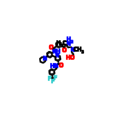 CN(CCO)CCC(C)(N)C(=O)c1cccc(C(=O)Nc2ccc(N3CCCCC3)cc2-c2cc(C(=O)NCc3cccc(C(F)(F)F)c3)ccn2)c1